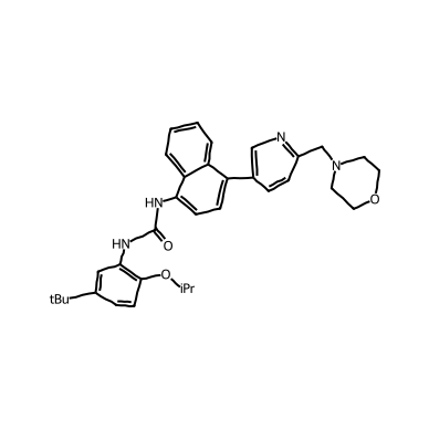 CC(C)Oc1ccc(C(C)(C)C)cc1NC(=O)Nc1ccc(-c2ccc(CN3CCOCC3)nc2)c2ccccc12